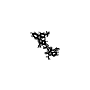 CCNC(=O)C(COC(=O)Oc1ccc(NC(=O)c2ccccc2-c2ccc(C(F)(F)F)cc2)c(C(=O)N(C)C)c1)(C(=O)NCC)c1ccccc1